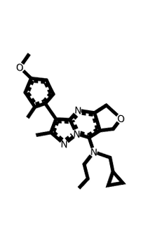 CCCN(CC1CC1)c1c2c(nc3c(-c4ccc(OC)cc4C)c(C)nn13)COC2